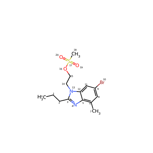 CCCc1nc2c(C)cc(Br)cc2n1CCOS(C)(=O)=O